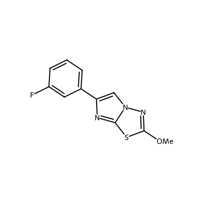 COc1nn2cc(-c3cccc(F)c3)nc2s1